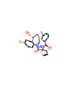 Cc1cccc(C(=O)NC2(C(=O)N3CCCC(O)c4cc(Cl)ccc43)CC=CS2)c1